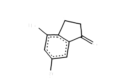 Cc1cc(Br)cc2c1CCC2=O